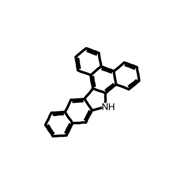 c1ccc2cc3c(cc2c1)[nH]c1c2ccccc2c2ccccc2c31